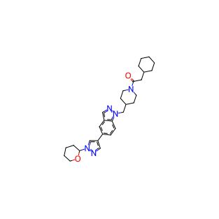 O=C(CC1CCCCC1)N1CCC(Cn2ncc3cc(-c4cnn(C5CCCCO5)c4)ccc32)CC1